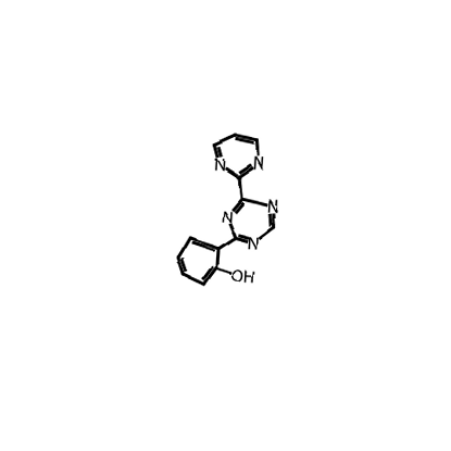 Oc1ccccc1-c1ncnc(-c2ncccn2)n1